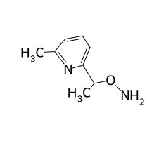 Cc1cccc(C(C)ON)n1